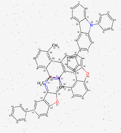 CCC(C)c1ccc(-c2ccc3c(c2)c2ccccc2n3-c2ccccc2)cc1-c1c(C)cccc1-c1nc(-c2cccc3oc4ccccc4c23)c2oc3ccc(-c4ccccc4)cc3c2n1